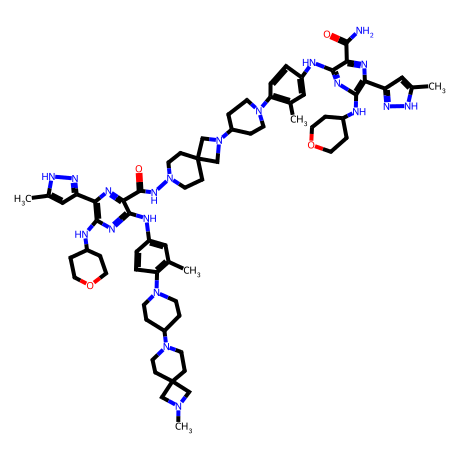 Cc1cc(-c2nc(C(N)=O)c(Nc3ccc(N4CCC(N5CC6(CCN(NC(=O)c7nc(-c8cc(C)[nH]n8)c(NC8CCOCC8)nc7Nc7ccc(N8CCC(N9CCC%10(CC9)CN(C)C%10)CC8)c(C)c7)CC6)C5)CC4)c(C)c3)nc2NC2CCOCC2)n[nH]1